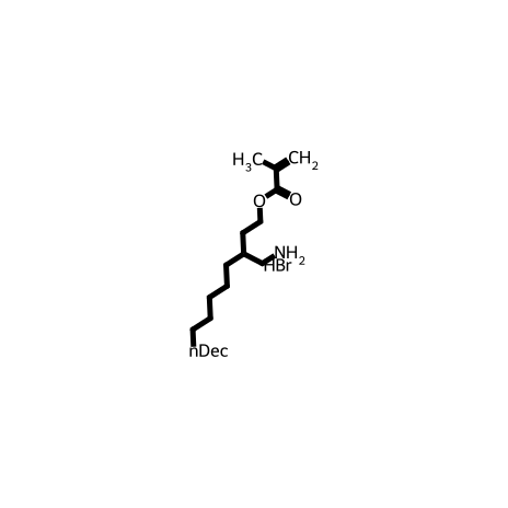 Br.C=C(C)C(=O)OCCC(CN)CCCCCCCCCCCCCCC